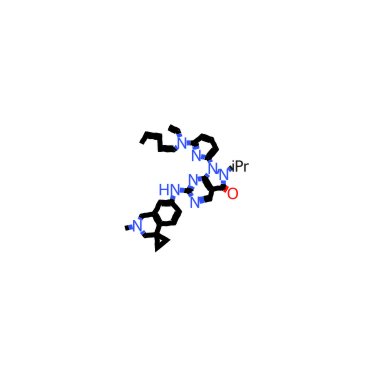 C=CN(/C=C\C=C/C)c1cccc(-n2c3nc(Nc4ccc5c(c4)CN(C)CC54CC4)ncc3c(=O)n2C(C)C)n1